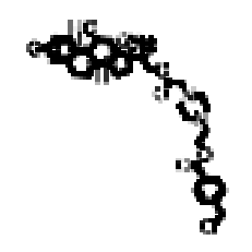 C[C@]12C=CC(=O)C=C1CC[C@@H]1[C@@H]2C(O)C[C@@]2(C)[C@H]1CC[C@]2(O)C(=O)COC(=O)CN1CCN(CCOC(=O)c2ccc(CCl)cc2)CC1